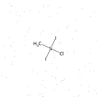 C[Si](Cl)(I)I